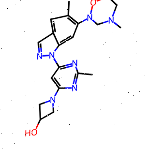 Cc1nc(N2CC(O)C2)cc(-n2ncc3cc(C)c(N4CN(C)CCO4)cc32)n1